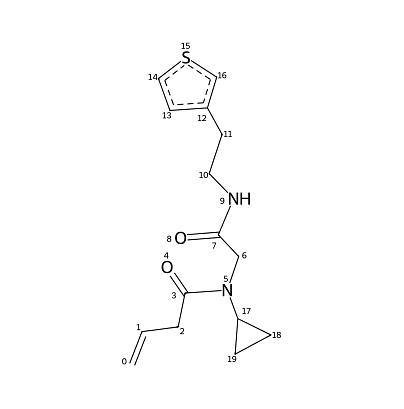 C=CCC(=O)N(CC(=O)NCCc1ccsc1)C1CC1